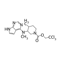 CC1CCN(C(=O)OCC(Cl)(Cl)Cl)CC1N(C)c1ncnc2[nH]ccc12